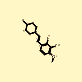 COc1ccc(/C=C/C2CCC(C)CC2)c(F)c1F